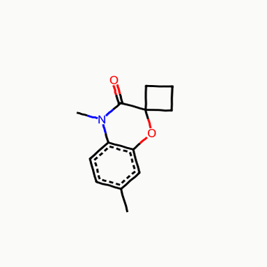 Cc1ccc2c(c1)OC1(CCC1)C(=O)N2C